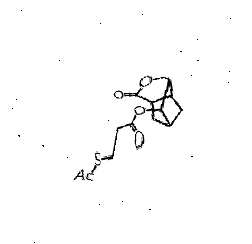 CC(=O)SCCC(=O)OC1C2CC3C(=O)OC1C3C2